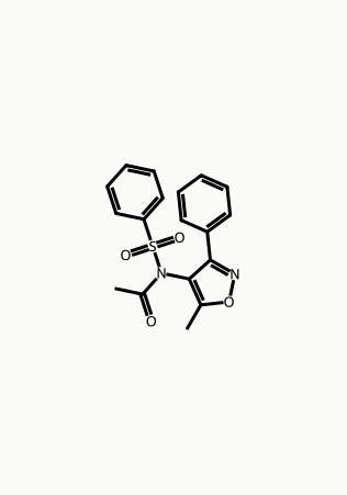 CC(=O)N(c1c(-c2ccccc2)noc1C)S(=O)(=O)c1ccccc1